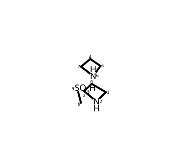 C1CNC1.C1CNC1.CS(=O)(=O)O